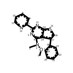 CON(C)c1nc(-c2ccccn2)nc2scc(-c3ccccc3)c12